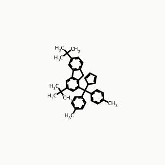 Cc1ccc(C(c2ccc(C)cc2)(c2cc(C(C)(C)C)cc3c2Cc2ccc(C(C)(C)C)cc2-3)C2C=CC=C2)cc1